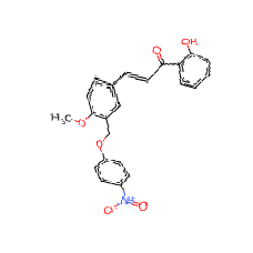 COc1ccc(/C=C/C(=O)c2ccccc2O)cc1COc1ccc([N+](=O)[O-])cc1